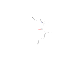 C=C/C=C(/C)C(=O)/C(C)=C\C=C